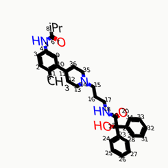 Cc1ccc(NC(=O)C(C)C)cc1C1CCN(CCCNC(=O)C(O)(c2ccccc2)c2ccccc2)CC1